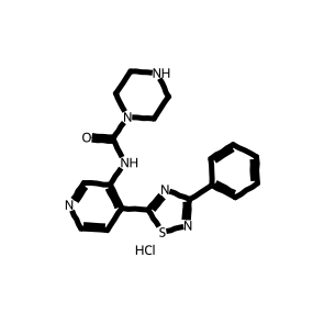 Cl.O=C(Nc1cnccc1-c1nc(-c2ccccc2)ns1)N1CCNCC1